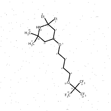 CCC1(CC)CC(OCCCCOC(C(F)(F)F)(C(F)(F)F)C(F)(F)F)CC(C)(C)N1